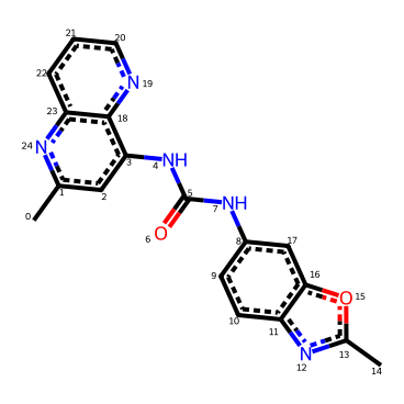 Cc1cc(NC(=O)Nc2ccc3nc(C)oc3c2)c2ncccc2n1